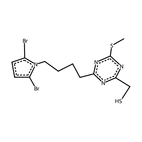 CSc1nc(CS)nc(CCCCn2c(Br)ccc2Br)n1